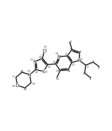 CCC(CC)n1cc(C)c2nc(-c3sc(N4CCOCC4)nc3Cl)c(C)cc21